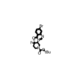 CC(C)(C)OC(=O)N1CCC(F)(F)C(n2cnc3cc(Br)ccc3c2=O)C1